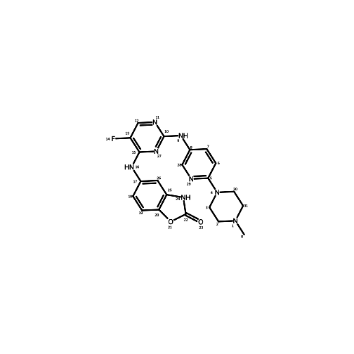 CN1CCN(c2ccc(Nc3ncc(F)c(Nc4ccc5oc(=O)[nH]c5c4)n3)cn2)CC1